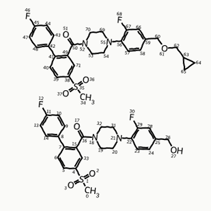 CS(=O)(=O)c1ccc(-c2ccc(F)cc2)c(C(=O)N2CCN(c3ccc(CO)cc3F)CC2)c1.CS(=O)(=O)c1ccc(-c2ccc(F)cc2)c(C(=O)N2CCN(c3ccc(COCC4CC4)cc3F)CC2)c1